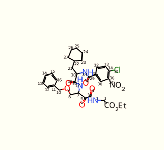 CCOC(=O)CNC(=O)C(=O)C(COCc1ccccc1)NC(=O)C(CC1CCCCC1)NC(=O)c1ccc(Cl)c([N+](=O)[O-])c1